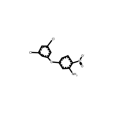 Nc1cc(Oc2cc(Cl)cc(Cl)c2)ccc1[N+](=O)[O-]